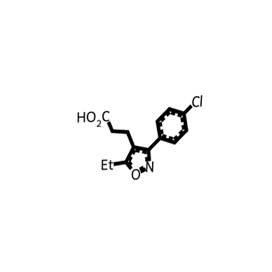 CCc1onc(-c2ccc(Cl)cc2)c1CCC(=O)O